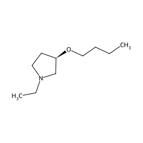 CCCCO[C@@H]1CCN(CC)C1